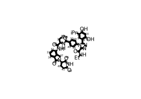 CCNC(=O)c1nnc(-c2cc(C(C)C)c(O)cc2O)n1-c1ccc(C(=O)NC(CC(C)C)C(=O)Nc2cccc3c2CN(C2CCC(=O)NC2=O)C3=O)cc1